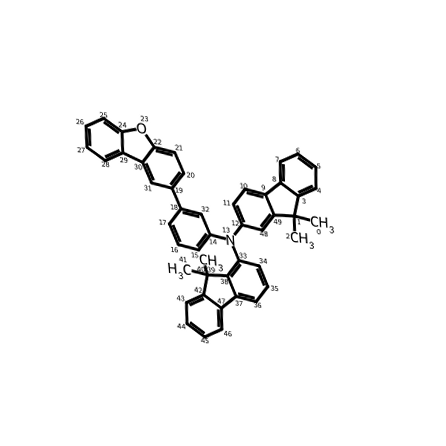 CC1(C)c2ccccc2-c2ccc(N(c3cccc(-c4ccc5oc6ccccc6c5c4)c3)c3cccc4c3C(C)(C)c3ccccc3-4)cc21